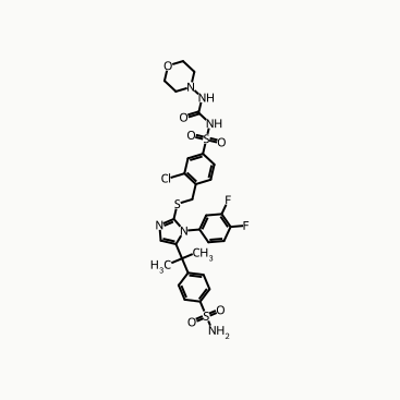 CC(C)(c1ccc(S(N)(=O)=O)cc1)c1cnc(SCc2ccc(S(=O)(=O)NC(=O)NN3CCOCC3)cc2Cl)n1-c1ccc(F)c(F)c1